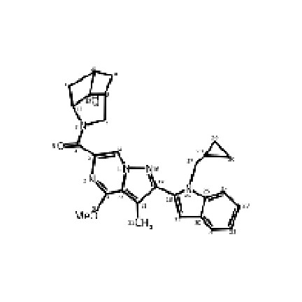 COc1nc(C(=O)N2CC3CC4CC2[C@H]43)cn2nc(-c3cc4ccccc4n3CC3CC3)c(C)c12